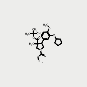 COC(=O)N1CC(c2ccc(OC)c(OC3CCCC3)c2)C(C)(C(=O)OC(C)(C)C)C1